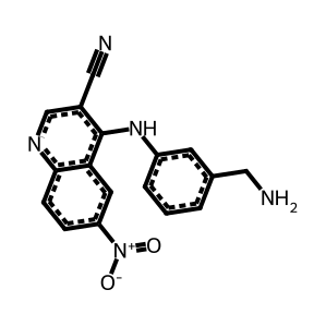 N#Cc1cnc2ccc([N+](=O)[O-])cc2c1Nc1cccc(CN)c1